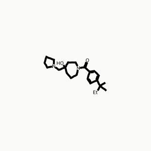 CCC(C)(C)c1ccc(C(=O)N2CCCC(O)(CN3CCCC3)CC2)cc1